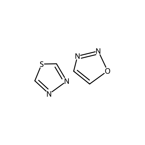 c1conn1.c1nncs1